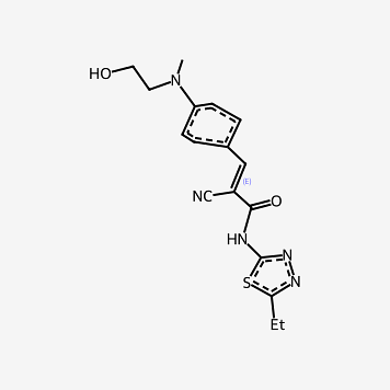 CCc1nnc(NC(=O)/C(C#N)=C/c2ccc(N(C)CCO)cc2)s1